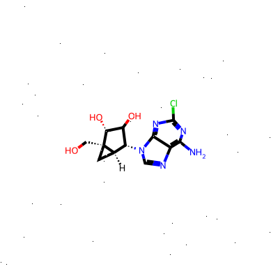 Nc1nc(Cl)nc2c1ncn2[C@H]1C(O)[C@@H](O)[C@]2(CO)C[C@H]12